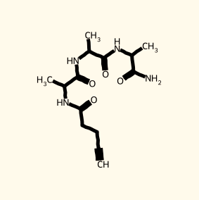 C#CCCC(=O)NC(C)C(=O)NC(C)C(=O)NC(C)C(N)=O